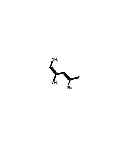 CC[C@H](C)/C(F)=C\C(C)=C/N